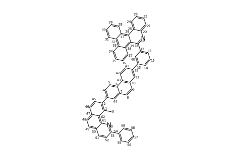 Cc1c(-c2ccc3c(ccc4cc(-c5cccc(-c6nc7ccccc7c7c8ccccc8c8ccccc8c67)c5)ccc43)c2)ccc2ccc3ccc(-c4ccccc4)nc3c12